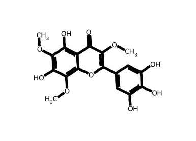 COc1c(O)c(OC)c2oc(-c3cc(O)c(O)c(O)c3)c(OC)c(=O)c2c1O